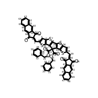 O=C1C(=Cc2cc3sc4c(c3s2)C(C(=O)OCc2ccccc2)(C(=O)OCc2ccccc2)c2c-4sc3cc(C=C4C(=O)c5cc6ccccc6cc5C4=O)sc23)C(=O)c2cc3ccccc3cc21